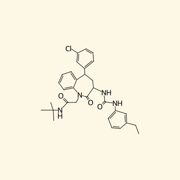 CCc1cccc(NC(=O)NC2CC(c3cccc(Cl)c3)c3ccccc3N(CC(=O)NC(C)(C)C)C2=O)c1